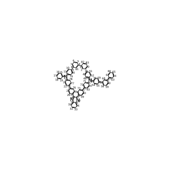 c1ccc(-c2cccc(-c3ccc(N(c4ccccc4)c4ccc(-c5ccc(-c6nc7ccccc7nc6-c6ccc(-c7ccc(N(c8ccccc8)c8ccc(-c9cccc(-c%10ccccc%10)c9)cc8)cc7)cc6)cc5)cc4)cc3)c2)cc1